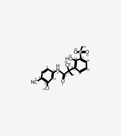 CC(C(=O)Nc1ccc(C#N)c(Cl)c1)(c1cccc(S(C)(=O)=O)c1O)C(F)(F)F